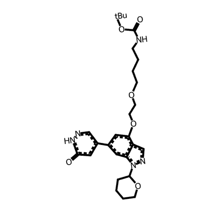 CC(C)(C)OC(=O)NCCCCOCCOc1cc(-c2cn[nH]c(=O)c2)cc2c1cnn2C1CCCCO1